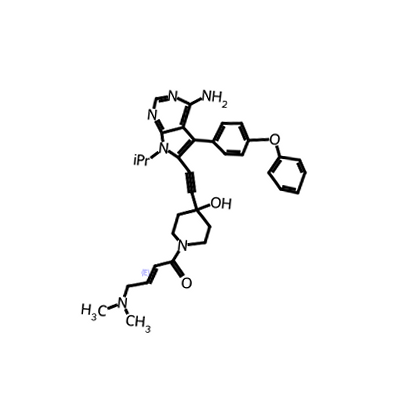 CC(C)n1c(C#CC2(O)CCN(C(=O)/C=C/CN(C)C)CC2)c(-c2ccc(Oc3ccccc3)cc2)c2c(N)ncnc21